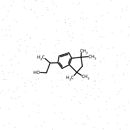 CC(CO)c1ccc2c(c1)C(C)(C)CC2(C)C